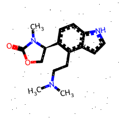 CN(C)CCc1c([C@H]2COC(=O)N2C)ccc2[nH]ccc12